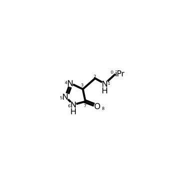 CC(C)NCC1N=NNC1=O